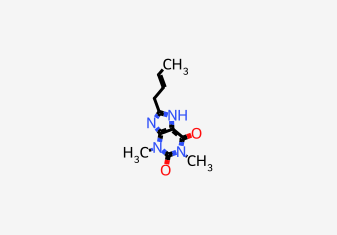 C/C=C/Cc1nc2c([nH]1)c(=O)n(C)c(=O)n2C